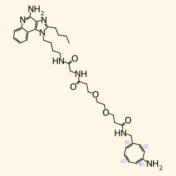 CCCCc1nc2c(N)nc3ccccc3c2n1CCCCNC(=O)CNC(=O)CCOCCOCCC(=O)NCC1=C/C=C\C=C(N)/C=C\1